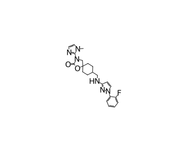 Cn1ccnc1N1CC2(CCC(CNc3ccn(-c4ccccc4F)n3)CC2)OC1=O